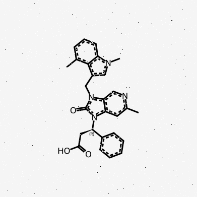 Cc1cc2c(cn1)n(Cc1cn(C)c3cccc(C)c13)c(=O)n2[C@H](CC(=O)O)c1ccccc1